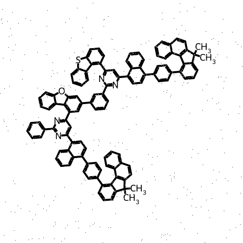 CC1(C)c2cccc(-c3ccc(-c4ccc(-c5cc(-c6cc(-c7cccc(-c8nc(-c9ccc(-c%10ccc(-c%11cccc%12c%11-c%11c(ccc%13ccccc%11%13)C%12(C)C)cc%10)c%10ccccc9%10)cc(-c9cccc%10sc%11ccccc%11c9%10)n8)c7)cc7oc8ccccc8c67)nc(-c6ccccc6)n5)c5ccccc45)cc3)c2-c2c1ccc1ccccc21